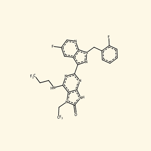 O=c1[nH]c2nc(-c3nn(Cc4ccccc4F)c4ncc(F)cc34)nc(NCCC(F)(F)F)c2n1CC(F)(F)F